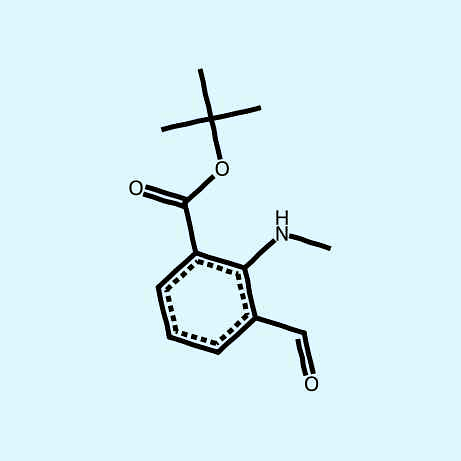 CNc1c(C=O)cccc1C(=O)OC(C)(C)C